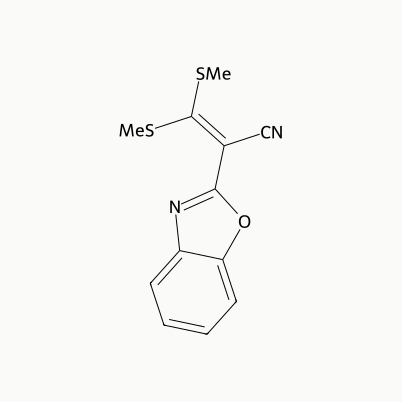 CSC(SC)=C(C#N)c1nc2ccccc2o1